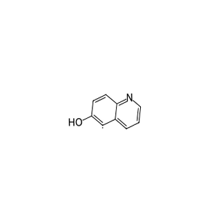 Oc1[c]c2cccnc2cc1